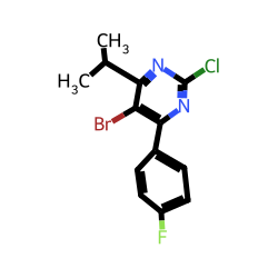 CC(C)c1nc(Cl)nc(-c2ccc(F)cc2)c1Br